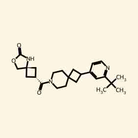 CC(C)(C)c1cc(C2CC3(CCN(C(=O)[C@H]4C[C@]5(COC(=O)N5)C4)CC3)C2)ccn1